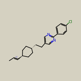 C/C=C/[C@H]1CC[C@H](CCc2cnc(-c3ccc(Cl)cc3)nc2)CC1